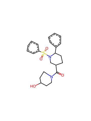 O=C(C1CCC(c2ccccc2)N(S(=O)(=O)c2ccccc2)C1)N1CCC(O)CC1